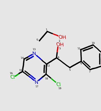 CCO.OC(Cc1ccccc1)c1ncc(Cl)nc1Cl